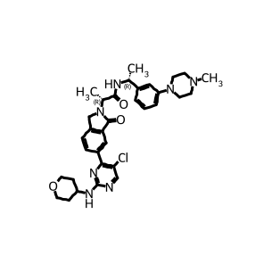 C[C@H](C(=O)N[C@H](C)c1cccc(N2CCN(C)CC2)c1)N1Cc2ccc(-c3nc(NC4CCOCC4)ncc3Cl)cc2C1=O